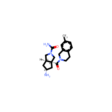 NC(=O)N1C[C@@H]2C[C@@H](N)C[C@]2(C(=O)N2CCc3ccc(C(F)(F)F)cc3C2)C1